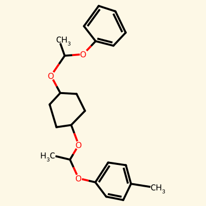 Cc1ccc(OC(C)OC2CCC(OC(C)Oc3ccccc3)CC2)cc1